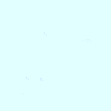 COCCCC(=O)N(Cc1ccc(-c2noc(C(F)(F)F)n2)cc1)CC1CC1